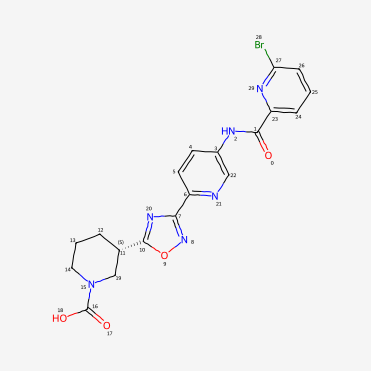 O=C(Nc1ccc(-c2noc([C@H]3CCCN(C(=O)O)C3)n2)nc1)c1cccc(Br)n1